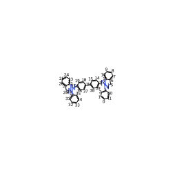 c1ccc(N2Cc3ccccc3N2c2ccc(-c3ccc(N4c5ccccc5CN4c4ccccc4)cc3)cc2)cc1